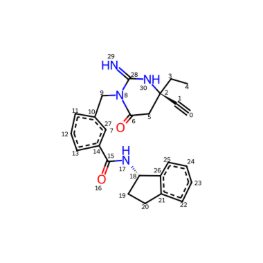 C#C[C@@]1(CC)CC(=O)N(Cc2cccc(C(=O)N[C@H]3CCc4ccccc43)c2)C(=N)N1